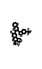 C[C@H]1OCc2c1c(N)nc1cc(F)c(C(=O)N(Cc3ncccn3)C3COc4cc(C(F)(F)F)ccc43)cc21